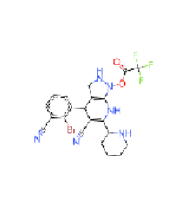 N#CC1=C(C2CCCCN2)NC2=C(CNN2OC(=O)C(F)(F)F)C1c1cccc(C#N)c1Br